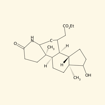 CCOC(=O)CC1CC2NC(=O)CC[C@]2(C)[C@@H]2CC[C@]3(C)C(O)CC[C@H]3[C@H]12